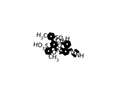 Cc1ccc(S(=O)(=O)O)c(-c2cc(-c3cc(C)ccc3S(=O)(=O)O)c(C(=O)N3Cc4ccc(CN5CCNCC5)cc4C3)c(OCc3ccccc3)c2C)c1